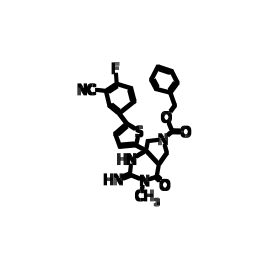 CN1C(=N)NC2(c3ccc(-c4ccc(F)c(C#N)c4)s3)CN(C(=O)OCc3ccccc3)CC2C1=O